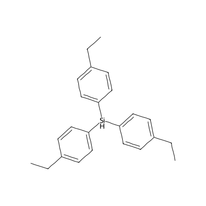 CCc1ccc([SiH](c2ccc(CC)cc2)c2ccc(CC)cc2)cc1